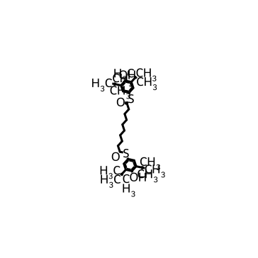 CC(C)(C)c1cc(SC(=O)CCCCCCCCC(=O)Sc2cc(C(C)(C)C)c(O)c(C(C)(C)C)c2)cc(C(C)(C)C)c1O